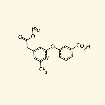 CC(C)(C)OC(=O)Cc1cc(Oc2cccc(C(=O)O)c2)nc(C(F)(F)F)c1